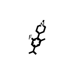 Cc1cc(C(C)C)cc(F)c1C1CCN(C)CC1